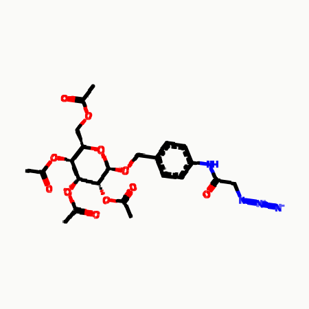 CC(=O)OC[C@H]1O[C@@H](OCc2ccc(NC(=O)CN=[N+]=[N-])cc2)[C@H](OC(C)=O)[C@@H](OC(C)=O)[C@H]1OC(C)=O